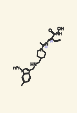 C=C/C(=C\N=C(/C)N1CCC(CNCc2cn(CCC)c3cc(C)ccc23)CC1)C(=O)NO